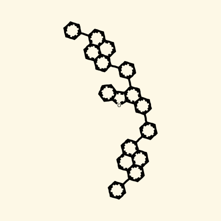 c1ccc(-c2ccc3ccc4c(-c5cccc(-c6ccc7cc(-c8cccc(-c9ccc%10ccc%11c(-c%12ccccc%12)ccc%12ccc9c%10c%12%11)c8)c8c9ccccc9oc8c7c6)c5)ccc5ccc2c3c54)cc1